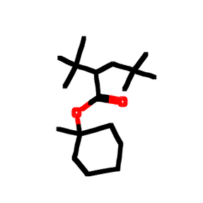 CC(C)(C)CC(C(=O)OC1(C)CCCCC1)C(C)(C)C